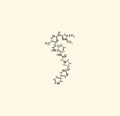 Cc1cnc(Nc2cc(C)n(C)n2)nc1-c1c[nH]c2c(NC(=O)CN3CCC(Oc4ncc(-c5cccnc5)cn4)C3)cccc12